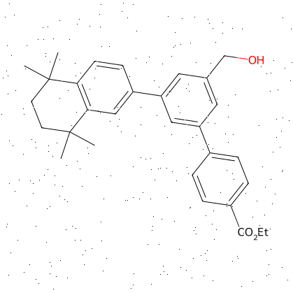 CCOC(=O)c1ccc(-c2cc(CO)cc(-c3ccc4c(c3)C(C)(C)CCC4(C)C)c2)cc1